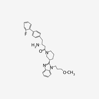 COCCCn1c([C@@H]2CCCN(C(=O)C[C@H](N)Cc3ccc(-c4ccccc4F)cc3)C2)nc2ccccc21